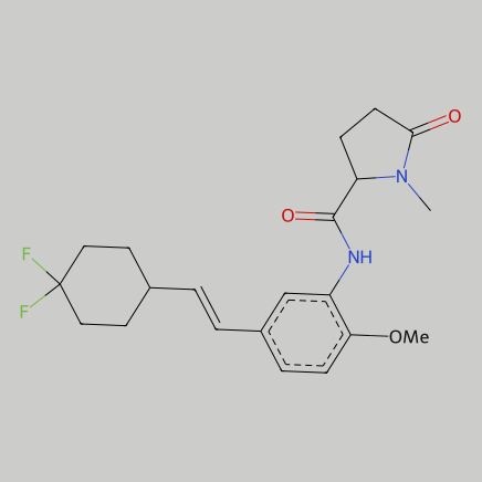 COc1ccc(C=CC2CCC(F)(F)CC2)cc1NC(=O)C1CCC(=O)N1C